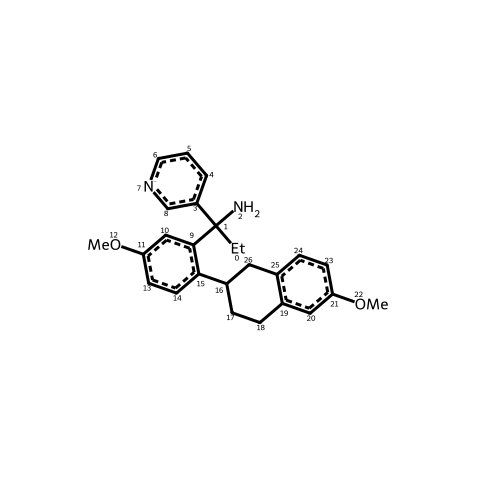 CCC(N)(c1cccnc1)c1cc(OC)ccc1C1CCc2cc(OC)ccc2C1